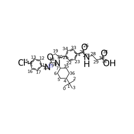 CC(C)(C)C1CCC(N2/C(=N/c3ccc(Cl)cc3)OCC2c2ccc(C(=O)NCCC(=O)O)cc2)CC1